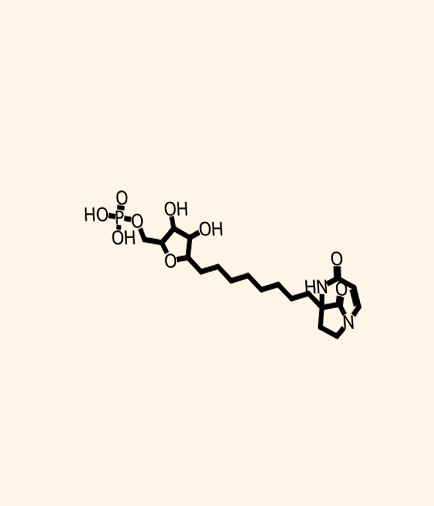 O=C1C=CN2CCC(CCCCCCCCC3OC(COP(=O)(O)O)C(O)C3O)(N1)C2=O